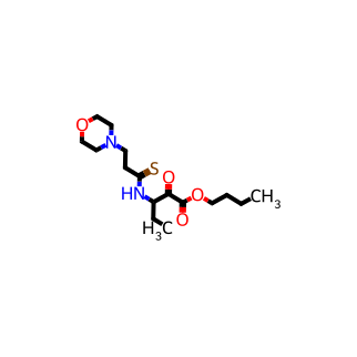 CCCCOC(=O)C(=O)C(CC)NC(=S)CCN1CCOCC1